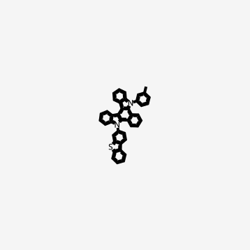 Cc1cccc(-n2c3ccccc3c3c4c5ccccc5n(-c5ccc6c(c5)sc5ccccc56)c4c4ccccc4c32)c1